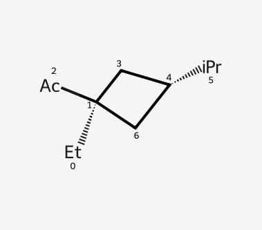 CC[C@]1(C(C)=O)C[C@H](C(C)C)C1